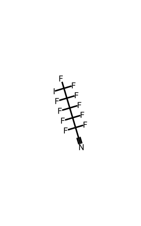 N#CC(F)(F)C(F)(F)C(F)(F)C(F)(F)C(F)(F)I